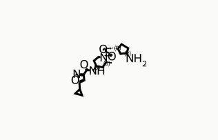 C[C@H]1C[C@@H](NC(=O)c2cc(C3CC3)on2)CCN1S(=O)(=O)C[C@@H]1CC[C@@H](N)C1